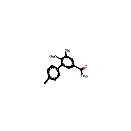 COC(=O)c1cc(-c2ccc(C)cc2)c(OCC(C)C)c(C(C)(C)C)c1